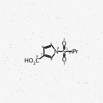 CC(C)S(=O)(=O)n1ccc(C(=O)O)c1